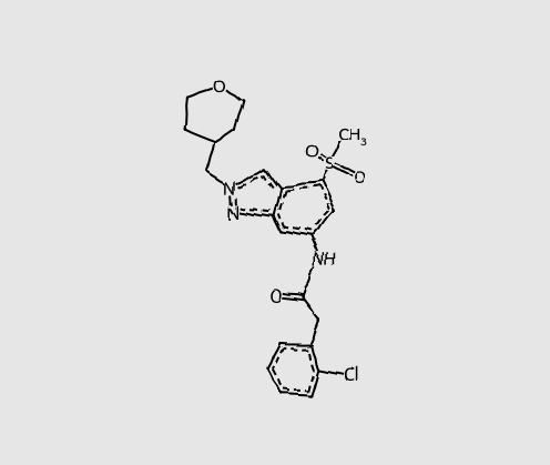 CS(=O)(=O)c1cc(NC(=O)Cc2ccccc2Cl)cc2nn(CC3CCOCC3)cc12